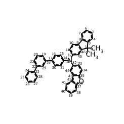 CC1(C)c2ccccc2-c2ccc(N(c3ccc(-c4cccc(-c5ccccc5)c4)cc3)c3ccc4oc5ccccc5c4c3)cc21